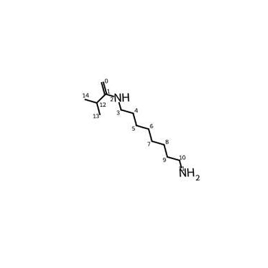 C=C(NCCCCCCCCN)C(C)C